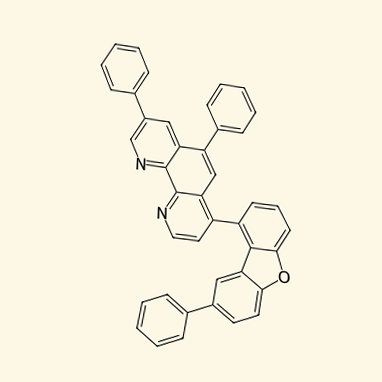 c1ccc(-c2cnc3c(c2)c(-c2ccccc2)cc2c(-c4cccc5oc6ccc(-c7ccccc7)cc6c45)ccnc23)cc1